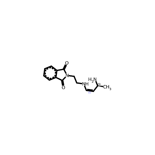 C[C@H](N)/C=C\NCCN1C(=O)c2ccccc2C1=O